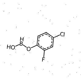 OBOc1ccc(Cl)cc1F